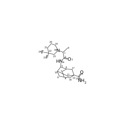 CC(C(=O)NC1C2CC3CC1CC(C(N)=O)(C3)C2)N1CCCC(F)(F)C1